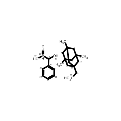 CC12CC3(C)CC(C)(C1)CC(CC(=O)O)(C2)C3.O=[PH](O)C(O)c1ccccc1